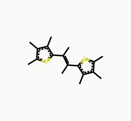 C/C(=C(/C)c1sc(C)c(C)c1C)c1sc(C)c(C)c1C